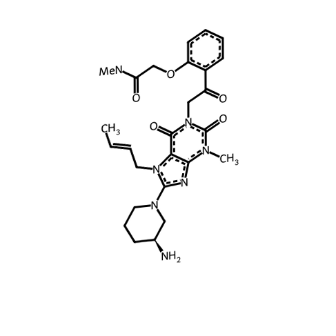 CC=CCn1c(N2CCC[C@H](N)C2)nc2c1c(=O)n(CC(=O)c1ccccc1OCC(=O)NC)c(=O)n2C